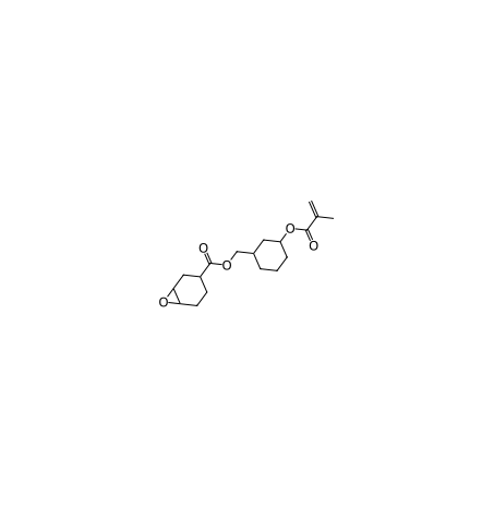 C=C(C)C(=O)OC1CCCC(COC(=O)C2CCC3OC3C2)C1